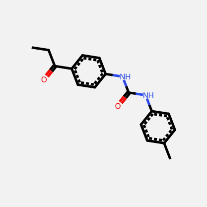 CCC(=O)c1ccc(NC(=O)Nc2ccc(C)cc2)cc1